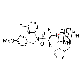 COc1ccc(CN(c2cccc(F)n2)S(=O)(=O)c2ncc(N[C@@H]3[C@@H]4CC[C@H]3CN(Cc3ccccc3)C4)c(C)c2F)cc1